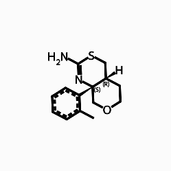 Cc1ccccc1[C@]12COCC[C@H]1CSC(N)=N2